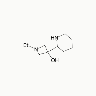 CCN1CC(O)(C2CCCCN2)C1